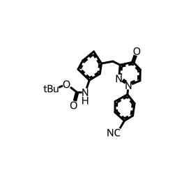 CC(C)(C)OC(=O)Nc1cccc(Cc2nn(-c3ccc(C#N)cc3)ccc2=O)c1